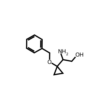 NC(CO)C1(OCc2ccccc2)CC1